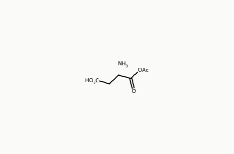 CC(=O)OC(=O)CCC(=O)O.N